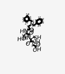 O=C(O)CNC(=O)[C@H](CS)NC(=O)[C@H](CO)NC(=O)CN(Cc1ccccc1)Cc1ccccc1